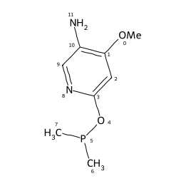 COc1cc(OP(C)C)ncc1N